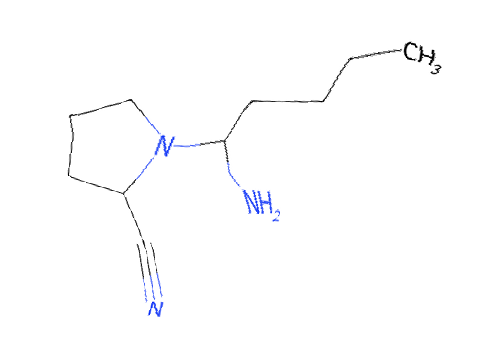 CCCCC(N)N1CCCC1C#N